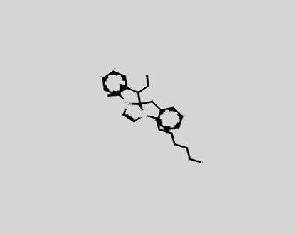 CCCCCCCN1C=CN(C(C)C)C1(Cc1ccccc1)C(CC)c1ccccc1